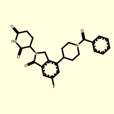 O=C1CCC(N2Cc3c(cc(F)cc3C3CCN(C(=O)c4ccccc4)CC3)C2=O)C(=O)N1